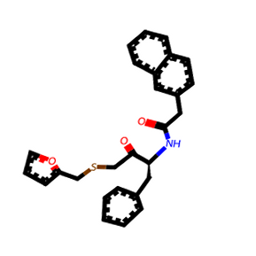 O=C(Cc1ccc2ccccc2c1)N[C@@H](Cc1ccccc1)C(=O)CSCc1ccco1